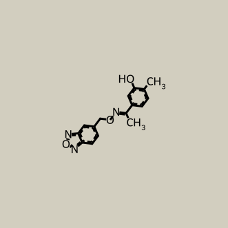 C/C(=N\OCc1ccc2nonc2c1)c1ccc(C)c(O)c1